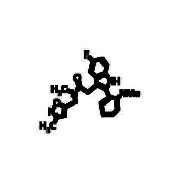 CNc1ccccc1-c1[nH]c2ccc(F)cc2c1CC(=O)N(C)Cc1cc(C)no1